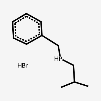 Br.CC(C)CPCc1ccccc1